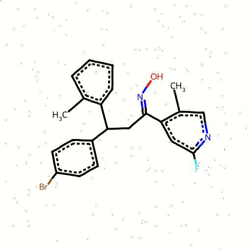 Cc1cnc(F)cc1C(CC(c1ccc(Br)cc1)c1ccccc1C)=NO